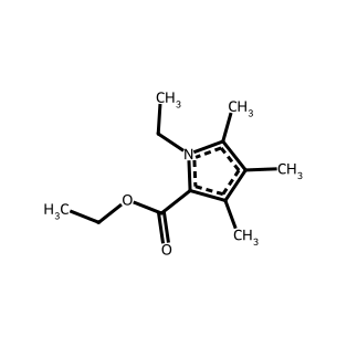 CCOC(=O)c1c(C)c(C)c(C)n1CC